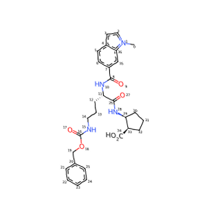 Cn1ccc2ccc(C(=O)N[C@@H](CCCNC(=O)OCc3ccccc3)C(=O)N[C@H]3CCC[C@H]3C(=O)O)cc21